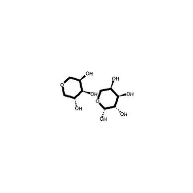 O[C@H]1[C@H](O)[C@H](O)OC[C@H]1O.O[C@H]1[C@H](O)[CH]OC[C@H]1O